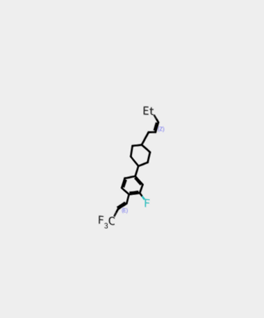 CC/C=C\CC1CCC(c2ccc(/C=C/C(F)(F)F)c(F)c2)CC1